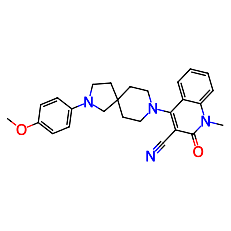 COc1ccc(N2CCC3(CCN(c4c(C#N)c(=O)n(C)c5ccccc45)CC3)C2)cc1